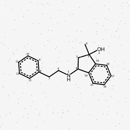 CC1(O)CC(NCCc2ccccc2)c2ccccc21